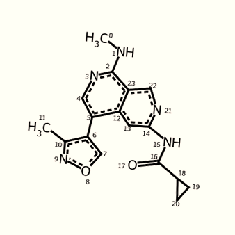 CNc1ncc(-c2conc2C)c2cc(NC(=O)C3CC3)ncc12